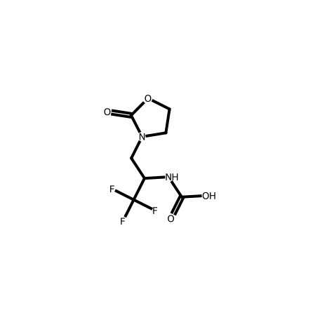 O=C(O)NC(CN1CCOC1=O)C(F)(F)F